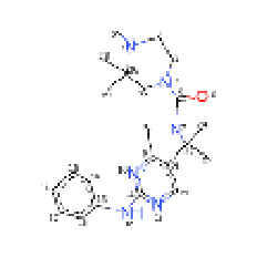 CN1CCN(C(=O)N2Cc3nc(Nc4ccccc4)ncc3C2(C)C)CC1(C)C